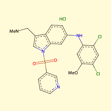 CNCc1cn(S(=O)(=O)c2cccnc2)c2cc(Nc3cc(OC)c(Cl)cc3Cl)ccc12.Cl